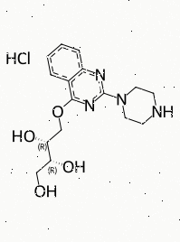 Cl.OC[C@@H](O)[C@H](O)COc1nc(N2CCNCC2)nc2ccccc12